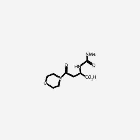 CNC(=O)NC(CC(=O)N1CCOCC1)C(=O)O